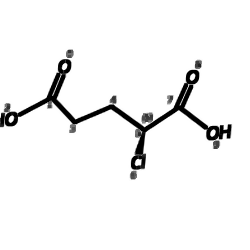 O=C(O)CC[C@H](Cl)C(=O)O